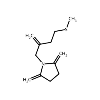 C=C(CCSC)CN1C(=C)CCC1=C